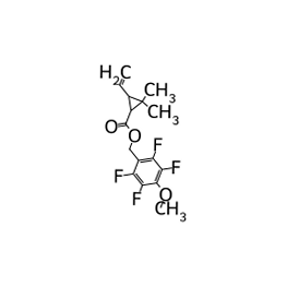 C=CC1C(C(=O)OCc2c(F)c(F)c(OC)c(F)c2F)C1(C)C